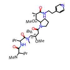 CC[C@H](C)[C@@H]([C@@H](CC(=O)N1CCCC1[C@H](OC)[C@@H](C)C(=O)NCCc1ccncc1)OC)N(C)C(=O)C(NC(=O)C(NC)C(C)C)C(C)C